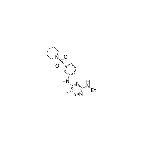 CCNc1ncc(C)c(Nc2cccc(S(=O)(=O)N3CCCCC3)c2)n1